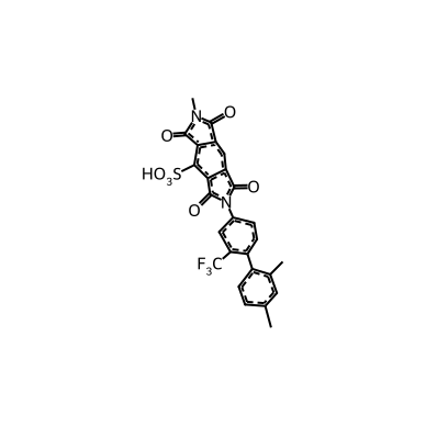 Cc1ccc(-c2ccc(-n3c(=O)c4cc5c(=O)n(C)c(=O)c5c(S(=O)(=O)O)c4c3=O)cc2C(F)(F)F)c(C)c1